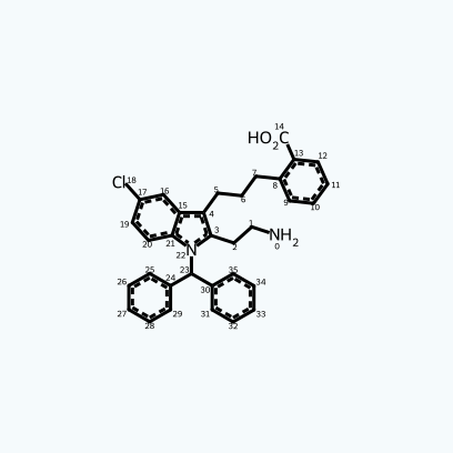 NCCc1c(CCCc2ccccc2C(=O)O)c2cc(Cl)ccc2n1C(c1ccccc1)c1ccccc1